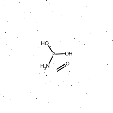 C=O.NP(O)O